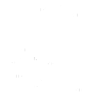 CCc1ccc([S+]([O-])c2c(C)c(C(=O)O)n(CCCOc3cc(C)c(Cl)c(C)c3)c2C)cc1